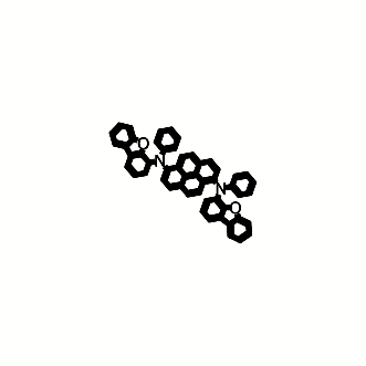 C1=Cc2c(oc3ccccc23)C(N(c2ccccc2)c2ccc3ccc4c(N(c5ccccc5)c5cccc6c5oc5ccccc56)ccc5ccc2c3c54)C1